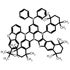 CC(C)(C)c1ccc2c(c1)oc1cccc(N3c4cc5c(cc4B4c6sc7cc8c(cc7c6N(c6ccc7c(c6)C(C)(C)CCC7(C)C)c6cc(N(c7ccccc7)c7ccccc7)cc3c64)C(C)(C)CCC8(C)C)C(C)(C)CCC5(C)C)c12